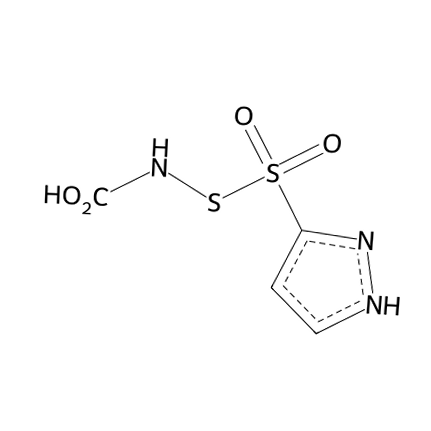 O=C(O)NSS(=O)(=O)c1cc[nH]n1